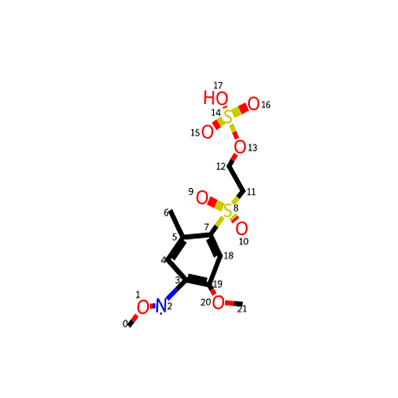 CO[N]c1cc(C)c(S(=O)(=O)CCOS(=O)(=O)O)cc1OC